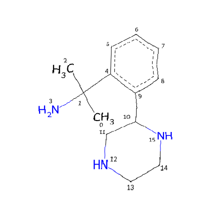 CC(C)(N)c1ccccc1C1CNCCN1